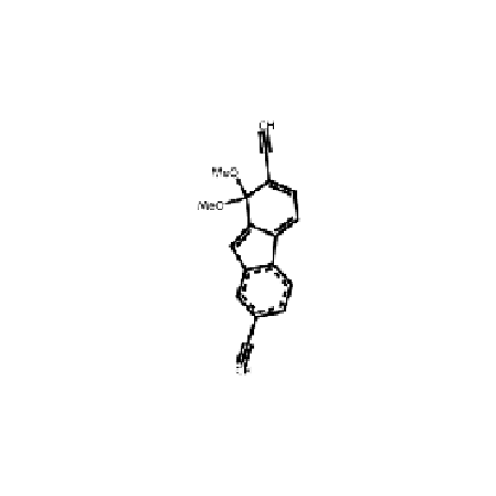 C#CC1=CC=C2C(=Cc3cc(C#C)ccc32)C1(OC)OC